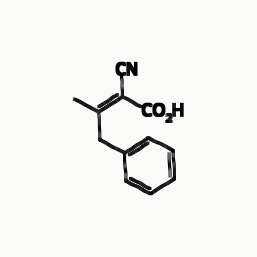 CC(Cc1ccccc1)=C(C#N)C(=O)O